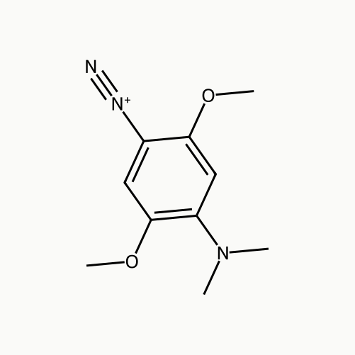 COc1cc(N(C)C)c(OC)cc1[N+]#N